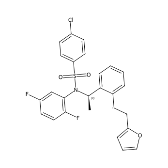 C[C@H](c1ccccc1[CH]Cc1ccco1)N(c1cc(F)ccc1F)S(=O)(=O)c1ccc(Cl)cc1